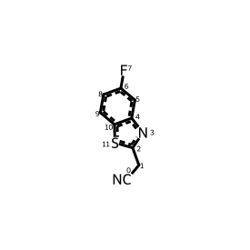 N#CCc1nc2cc(F)ccc2s1